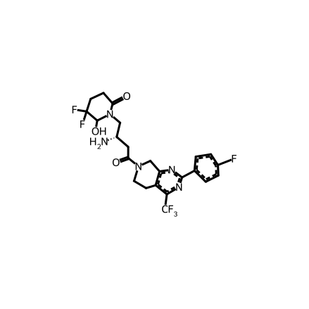 N[C@@H](CC(=O)N1CCc2c(nc(-c3ccc(F)cc3)nc2C(F)(F)F)C1)CN1C(=O)CCC(F)(F)C1O